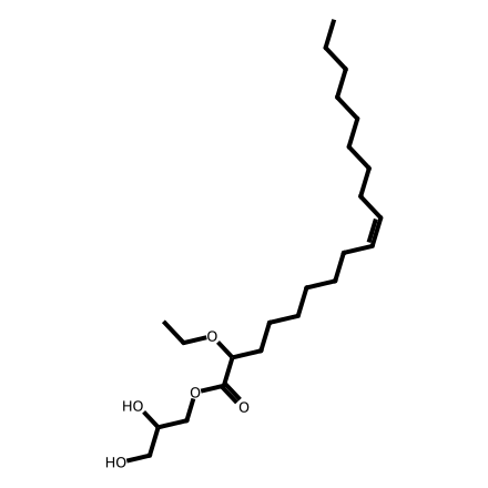 CCCCCCCC/C=C\CCCCCCC(OCC)C(=O)OCC(O)CO